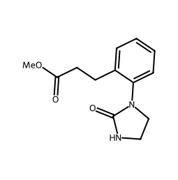 COC(=O)CCc1ccccc1N1CCNC1=O